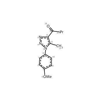 COc1ccc(-n2nnc(C(=O)C(C)C)c2C)cc1